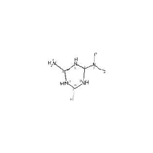 C[C@@H]1NC(N)NC(N(C)C)N1